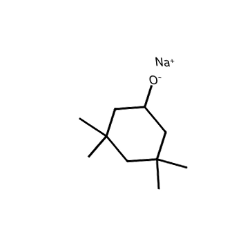 CC1(C)CC([O-])CC(C)(C)C1.[Na+]